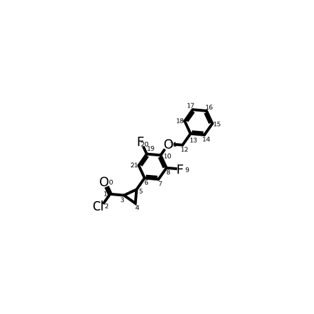 O=C(Cl)C1CC1c1cc(F)c(OCc2ccccc2)c(F)c1